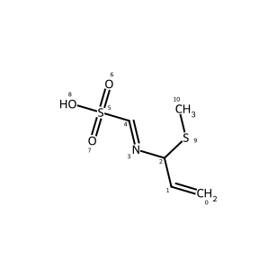 C=CC(N=CS(=O)(=O)O)SC